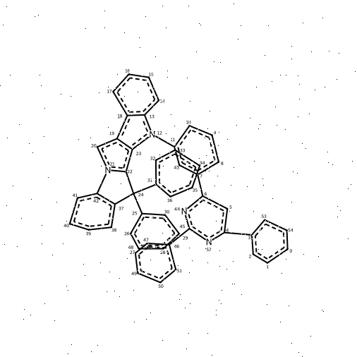 c1ccc(-c2cc(-c3cccc(-n4c5ccccc5c5cn6c(c54)C(c4ccccc4)(c4ccccc4)c4ccccc4-6)c3)nc(-c3ccccc3)n2)cc1